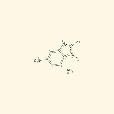 Cc1nc2cc([N+](=O)[O-])ccc2n1C.N